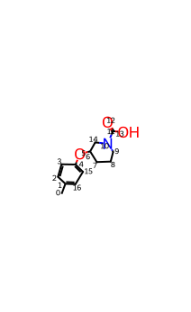 Cc1ccc(OC2CCCN(C(=O)O)C2)cc1